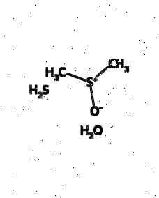 C[S+](C)[O-].O.S